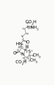 CC1(C)S[C@@H]2[C@H](NC(=O)CCC[C@@H](N)C(=O)O)C(=O)N2[C@H]1C(=O)O